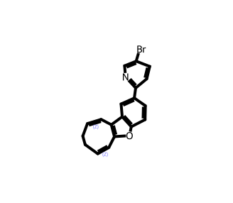 Brc1ccc(-c2ccc3oc4c(c3c2)/C=C\CC/C=C\4)nc1